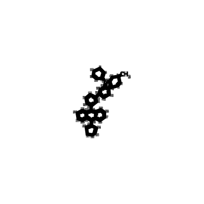 CC1C=Cc2c(n(C3=CCCC=C3)c3cc(-c4cccc(-c5c6ccccc6c(C6=CCCC=C6)c6ccccc56)c4)ccc23)C1